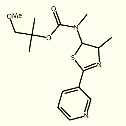 COCC(C)(C)OC(=O)N(C)C1SC(c2cccnc2)=NC1C